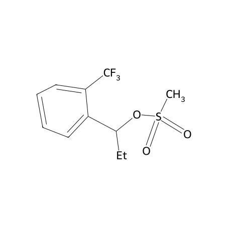 CCC(OS(C)(=O)=O)c1ccccc1C(F)(F)F